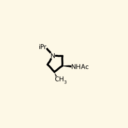 CC(=O)N[C@@H]1CN(C(C)C)C[C@H]1C